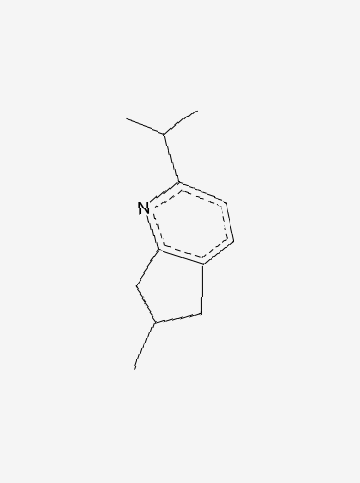 CC1Cc2ccc(C(C)C)nc2C1